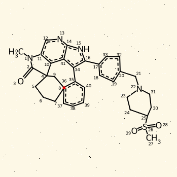 CN1C(=O)C2(CCCCC2)c2c1cnc1[nH]c(-c3ccc(CN4CCC(S(C)(=O)=O)CC4)cc3)c(-c3ccccc3)c21